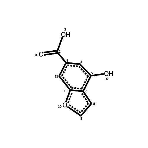 O=C(O)c1cc(O)c2ccoc2c1